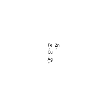 [Ag].[Cu].[Fe].[Zn]